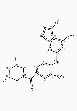 CNc1nc(Nc2ccc(C(=O)N3C[C@@H](C)O[C@@H](C)C3)cc2OC)nc2[nH]cc(C#N)c12